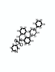 O=S(=O)(c1cccnc1)N(Cc1ccccc1)c1cccc(N2CCN(c3ccccc3)CC2)c1